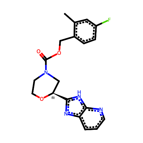 Cc1cc(F)ccc1COC(=O)N1CCO[C@H](c2nc3cccnc3[nH]2)C1